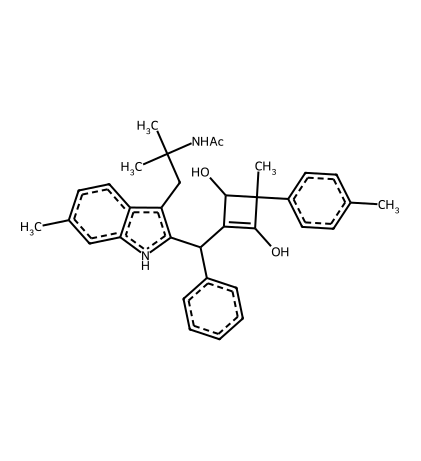 CC(=O)NC(C)(C)Cc1c(C(C2=C(O)C(C)(c3ccc(C)cc3)C2O)c2ccccc2)[nH]c2cc(C)ccc12